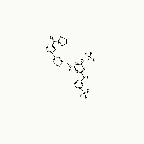 O=C(c1cccc(-c2cccc(CNc3nc(Nc4cccc(C(F)(F)F)c4)nc(OCC(F)(F)F)n3)c2)c1)N1CCCC1